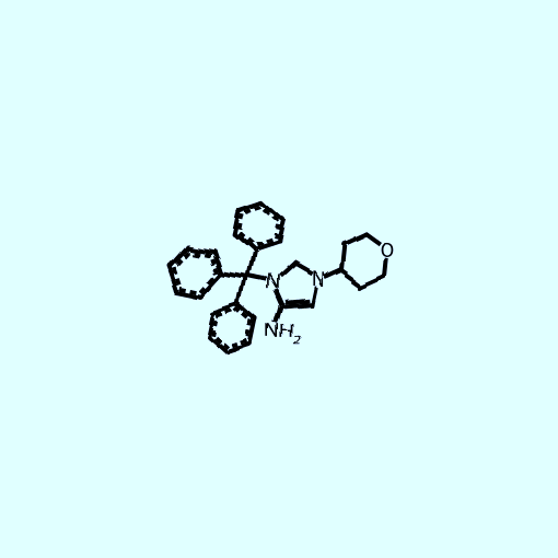 NC1=CN(C2CCOCC2)CN1C(c1ccccc1)(c1ccccc1)c1ccccc1